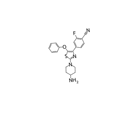 N#Cc1ccc(-c2nc(N3CCC(N)CC3)sc2Oc2ccccc2)cc1F